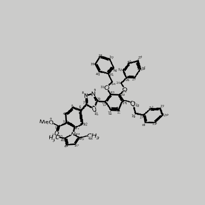 COC(=O)c1ccc(-c2nnc(-c3ccc(OCc4ccccc4)c(OCc4ccccc4)c3OCc3ccccc3)o2)cc1-n1c(C)ccc1C